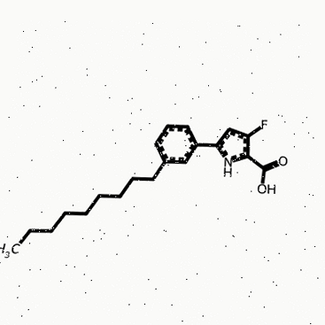 CCCCCCCCCc1cccc(-c2cc(F)c(C(=O)O)[nH]2)c1